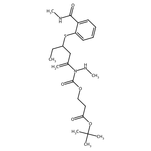 C=C(CC(CC)Sc1ccccc1C(=O)NC)N(NC)C(=O)OCCC(=O)OC(C)(C)C